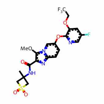 COc1c(C(=O)NC2(C)CS(=O)(=O)C2)nc2ccc(Oc3ncc(F)cc3OCC(F)(F)F)cn12